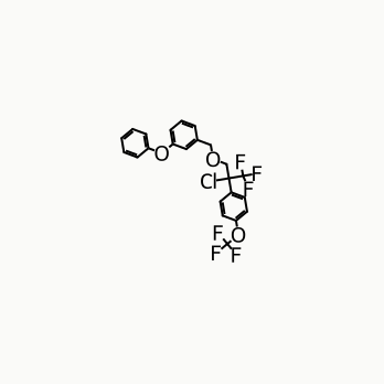 FC(F)(F)Oc1ccc(C(Cl)(COCc2cccc(Oc3ccccc3)c2)C(F)(F)F)cc1